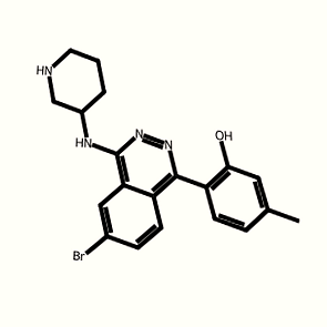 Cc1ccc(-c2nnc(NC3CCCNC3)c3cc(Br)ccc23)c(O)c1